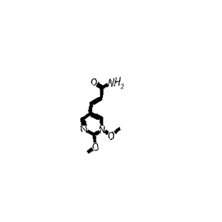 COC1N=CC(C=CC(N)=O)=CN1OC